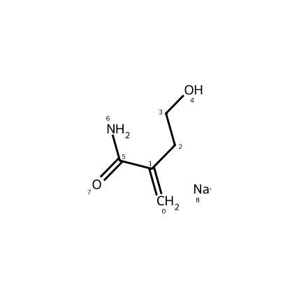 C=C(CCO)C(N)=O.[Na]